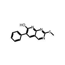 CSc1ncc2cc(-c3ccccc3)c(O)nc2n1